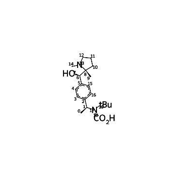 C[C@@H](c1ccc([C@@H](O)[C@@]2(C)CCCN2C)cc1)N(C(=O)O)C(C)(C)C